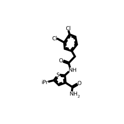 CC(C)c1cc(C(N)=O)c(NC(=O)Cc2ccc(Cl)c(Cl)c2)s1